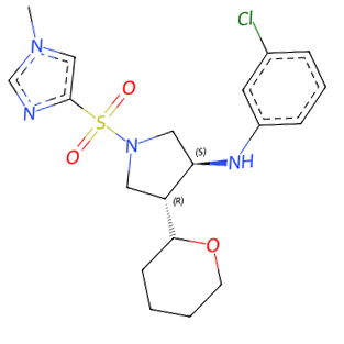 Cn1cnc(S(=O)(=O)N2C[C@@H](Nc3cccc(Cl)c3)[C@H](C3CCCCO3)C2)c1